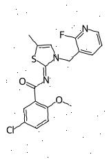 COc1ccc(Cl)cc1C(=O)N=c1sc(C)cn1Cc1cccnc1F